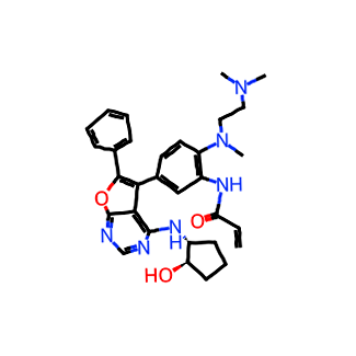 C=CC(=O)Nc1cc(-c2c(-c3ccccc3)oc3ncnc(N[C@@H]4CCC[C@H]4O)c23)ccc1N(C)CCN(C)C